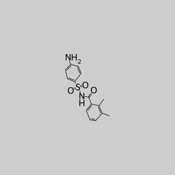 Cc1cccc(C(=O)NS(=O)(=O)c2ccc(N)cc2)c1C